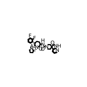 CC(=O)N1CCC[C@H]1CN1C[C@H](c2cccc(F)c2F)CC[C@@H](NC(=O)N2CCC3(CC2)C(=O)Nc2ncccc23)C1=O